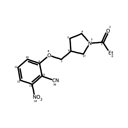 CCC(=O)N1CCC(COc2cccc([N+](=O)[O-])c2C#N)C1